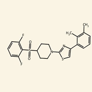 Cc1cccc(-c2csc(N3CCC(S(=O)(=O)c4c(F)cccc4F)CC3)n2)c1C